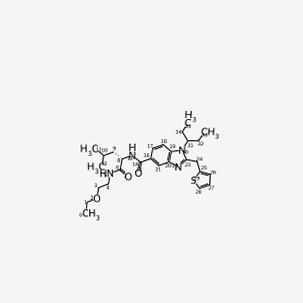 CCOCCNC(=O)[C@H](CC(C)C)NC(=O)c1ccc2c(c1)nc(Cc1cccs1)n2C(CC)CC